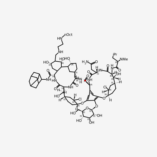 CCCCCCCCNCCNCC1[C@H](O)C2C3C[C@H](CC[C@H]3O)[C@H]3NC(=O)[C@@H]4NC(=O)[C@H](CC(N)=O)NC(=O)[C@H](NC(=O)[C@@H](CC(C)C)NC)[C@H](O)[C@H]5CC[C@@H](Oc6cc4cc(c6O[C@@H]4O[C@H](CO)[C@@H](O)[C@H](O)[C@H]4O)O[C@@H]4CC[C@@H](C[C@@H]4Cl)[C@@H](O)[C@H](NC3=O)C(=O)N[C@H](C(=O)NC3C4CC6CC(C4)CC3C6)C2C[C@@H]1O)[C@H](Cl)C5